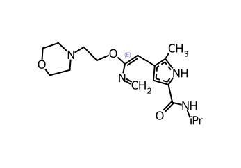 C=N/C(=C\c1cc(C(=O)NC(C)C)[nH]c1C)OCCN1CCOCC1